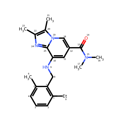 CCc1cccc(C)c1CNc1cc(C(=O)N(C)C)cn2c(C)c(C)nc12